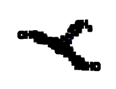 Cc1ccc(/C=C/c2ccc(P(=O)(c3ccc(/C=C/c4ccc(C=O)cc4)cc3)c3ccc(/C=C/c4ccc(C=O)cc4)cc3)cc2)cc1